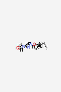 C[Si](C)(C)CCOCn1ccc2cc(N3C[C@H]4COC[C@H]4C3)cnc21